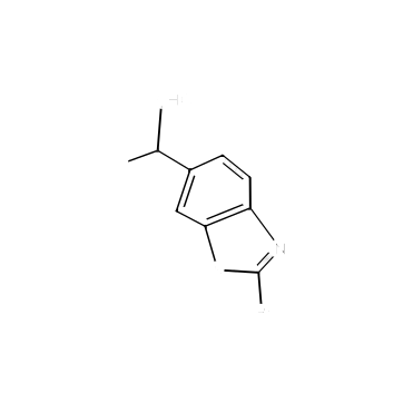 CC(C=O)c1ccc2nc(Br)sc2c1